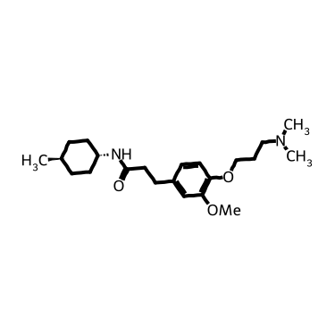 COc1cc(CCC(=O)N[C@H]2CC[C@H](C)CC2)ccc1OCCCN(C)C